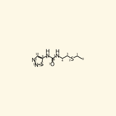 CCSCCNC(=O)Nc1cnns1